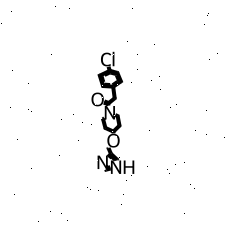 O=C(Cc1ccc(Cl)cc1)N1CCC(OCc2c[nH]cn2)CC1